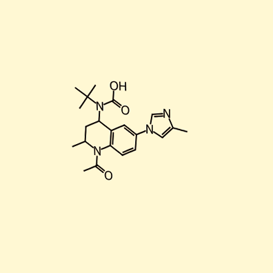 CC(=O)N1c2ccc(-n3cnc(C)c3)cc2C(N(C(=O)O)C(C)(C)C)CC1C